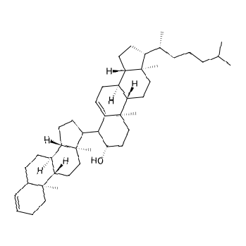 CC(C)CCC[C@@H](C)[C@H]1CC[C@H]2[C@@H]3CC=C4C(C5CC[C@H]6[C@@H]7CCC8C=CCC[C@]8(C)[C@H]7CC[C@]56C)[C@@H](O)CC[C@]4(C)[C@H]3CC[C@]12C